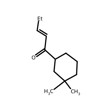 CC/C=C/C(=O)C1CCCC(C)(C)C1